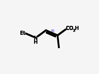 CCN/C=C(\C)C(=O)O